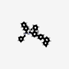 C=N/C(=N\C(=N/Cc1ccccc1)c1ccc2ccccc2c1)c1ccc(-c2ccc(-c3cccc4ccccc34)cc2)c2oc3ccccc3c12